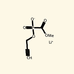 C#CCOP(=O)([O-])C(=O)OC.[Li+]